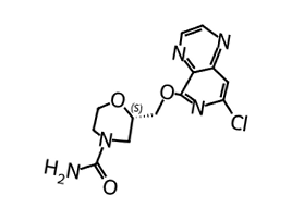 NC(=O)N1CCO[C@H](COc2nc(Cl)cc3nccnc23)C1